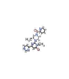 C[C@@H]1CN(C(=O)c2ccccn2)CCN1c1nc(-c2ccncn2)cc(=O)n1C